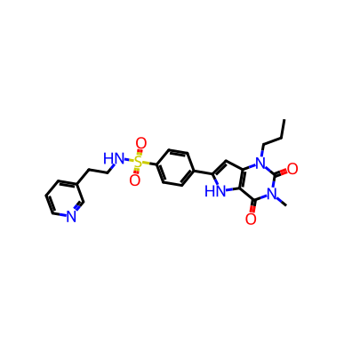 CCCn1c(=O)n(C)c(=O)c2[nH]c(-c3ccc(S(=O)(=O)NCCc4cccnc4)cc3)cc21